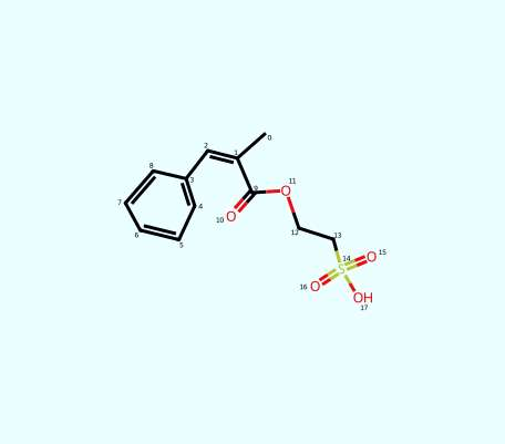 CC(=Cc1ccccc1)C(=O)OCCS(=O)(=O)O